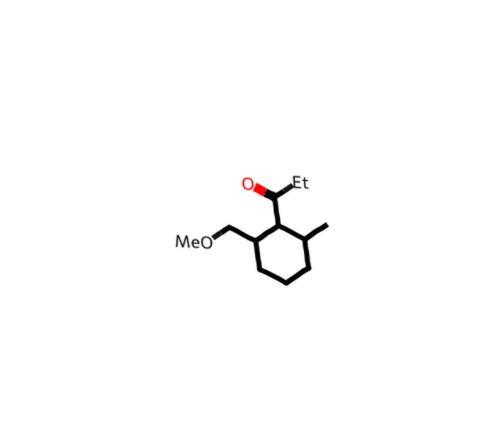 CCC(=O)C1C(C)CCCC1COC